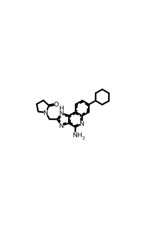 Nc1nc2cc(C3CCCCC3)ccc2c2[nH]c(CN3CCCC3=O)nc12